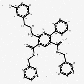 O=C(NCc1cccnc1)c1cc(C(=O)NCc2cccnc2)c(-c2ccccc2)nc1NCCc1cccc(F)c1